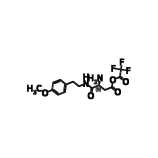 COc1ccc(CCNC(=O)[C@@H](N)CC(=O)OC(=O)C(F)(F)F)cc1